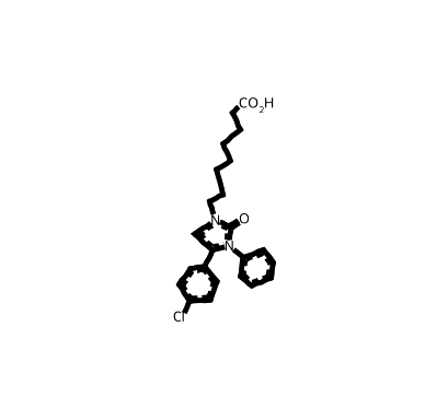 O=C(O)CCCCCCCn1cc(-c2ccc(Cl)cc2)n(-c2ccccc2)c1=O